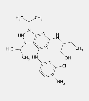 CCC(CO)Nc1nc(Nc2ccc(N)c(Cl)c2)c2c(n1)N(C(C)C)NN2C(C)C